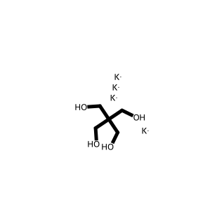 OCC(CO)(CO)CO.[K].[K].[K].[K]